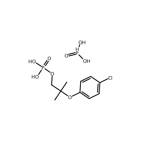 CC(C)(COP(=O)(O)O)Oc1ccc(Cl)cc1.O=[PH](O)O